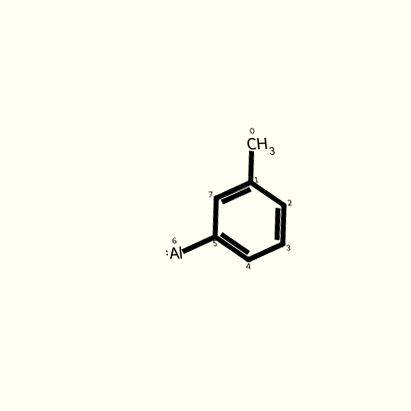 Cc1ccc[c]([Al])c1